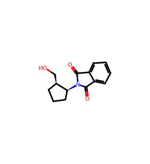 O=C1c2ccccc2C(=O)N1[C@H]1CCC[C@H]1CO